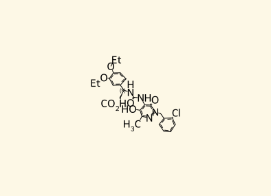 CCOc1ccc([C@H](CC(=O)O)NC(=O)Nc2c(O)c(C)nn(Cc3ccccc3Cl)c2=O)cc1OCC